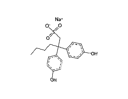 CCCCC(CS(=O)(=O)[O-])(c1ccc(O)cc1)c1ccc(O)cc1.[Na+]